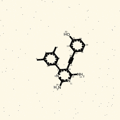 Cc1cc(C)cc(-c2nc(N)nc(N)c2C#Cc2cccc(O)c2)c1